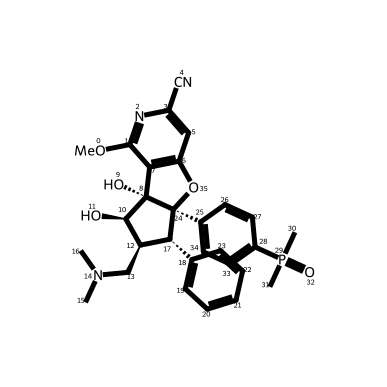 COc1nc(C#N)cc2c1[C@]1(O)[C@H](O)[C@H](CN(C)C)[C@@H](c3ccccc3)[C@]1(c1ccc(P(C)(C)=O)cc1)O2